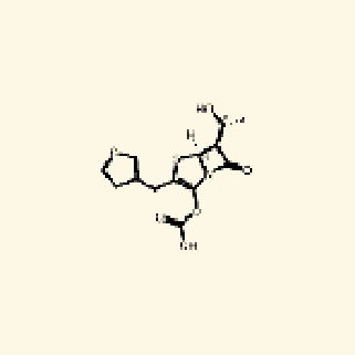 C[C@@H](O)C1C(=O)N2C(OC(=O)O)=C(CC3CCOC3)S[C@@H]12